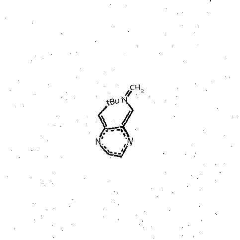 C=N/C=c1/nccn/c1=C/C(C)(C)C